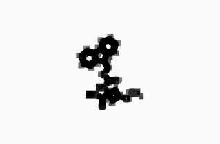 COC1CC(NC(=O)OCC2c3ccccc3-c3ccccc32)(C(=O)O)C1